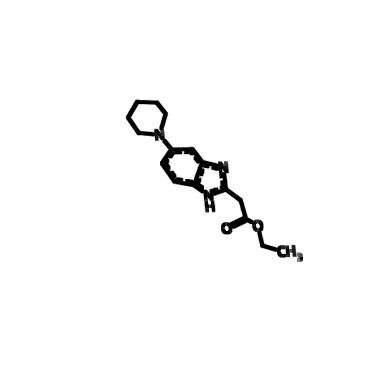 CCOC(=O)Cc1nc2cc(N3CCCCC3)ccc2[nH]1